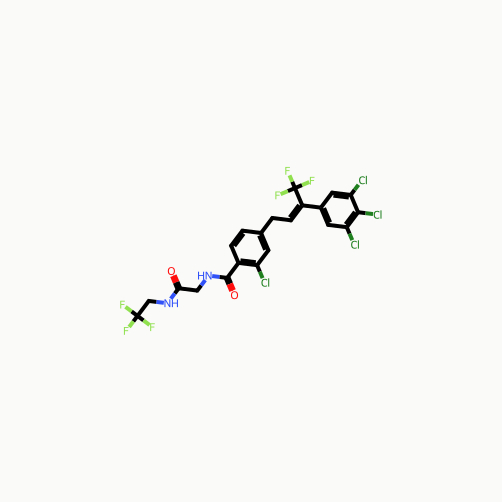 O=C(CNC(=O)c1ccc(CC=C(c2cc(Cl)c(Cl)c(Cl)c2)C(F)(F)F)cc1Cl)NCC(F)(F)F